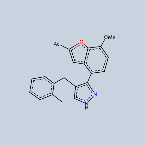 COc1ccc(-c2n[nH]cc2Cc2ccccc2C)c2cc(C(C)=O)oc12